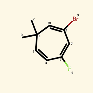 CC1(C)C=CC(F)=CC(Br)=C1